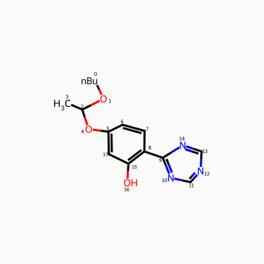 CCCCOC(C)Oc1ccc(-c2ncncn2)c(O)c1